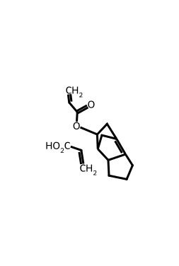 C=CC(=O)O.C=CC(=O)OC1CC2=C3CCCC3C1C2